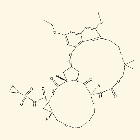 CCOc1cc2c3cc(c(OC)cc3n1)CCCC(C)(C)COC(=O)N[C@H]1CCCCCCC[C@@H]3C[C@@]3(C(=O)NS(=O)(=O)C3CC3)NC(=O)[C@@H]3C[C@H](CN3C1=O)O2